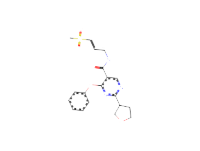 C[C@@H](/C=C/S(C)(=O)=O)NC(=O)c1cnc(C2CCOC2)nc1Oc1ccccc1